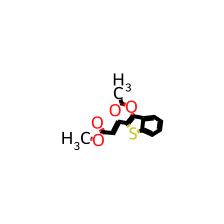 COC(=O)/C=C/c1sc2ccccc2c1OC(C)=O